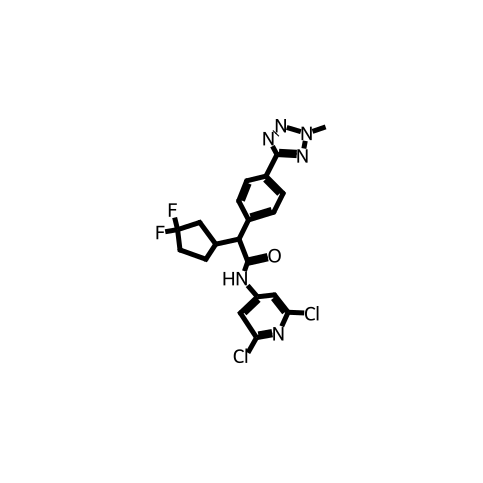 Cn1nnc(-c2ccc(C(C(=O)Nc3cc(Cl)nc(Cl)c3)C3CCC(F)(F)C3)cc2)n1